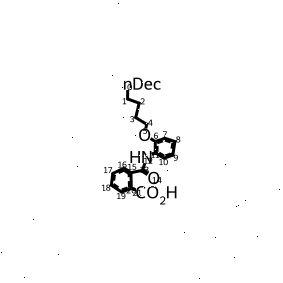 CCCCCCCCCCCCCCOc1ccccc1NC(=O)c1ccccc1C(=O)O